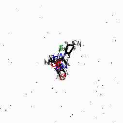 Cc1c(Nc2ccc(C#N)cc2F)ccnc1OC1C2COCC1CN(C(=O)OC1(C)CC1)C2